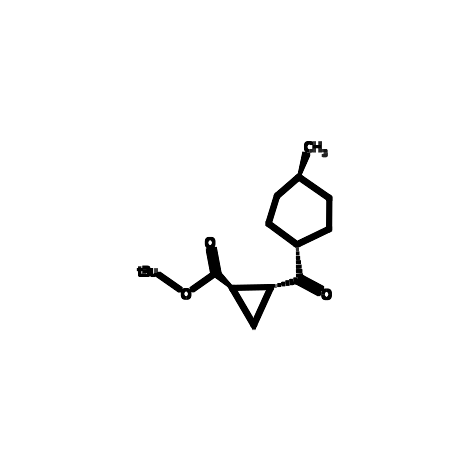 CC(C)(C)OC(=O)[C@@H]1C[C@H]1C(=O)[C@H]1CC[C@H](C)CC1